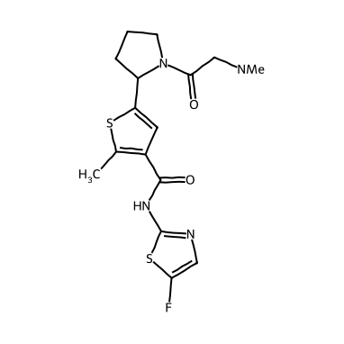 CNCC(=O)N1CCCC1c1cc(C(=O)Nc2ncc(F)s2)c(C)s1